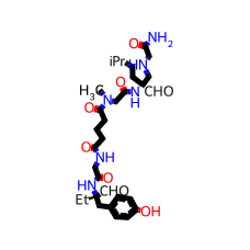 CC[C@@](C=O)(Cc1ccc(O)cc1)NC(=O)CNC(=O)CCCC(=O)N(C)CC(=O)N[C@](C=O)(CCC(C)C)CNCC(N)=O